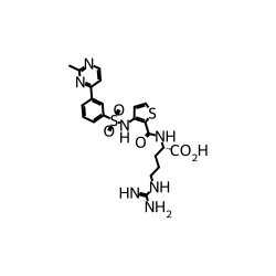 Cc1nccc(-c2cccc(S(=O)(=O)Nc3ccsc3C(=O)N[C@@H](CCCNC(=N)N)C(=O)O)c2)n1